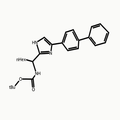 CCCCCCC(NC(=O)OC(C)(C)C)c1nc(-c2ccc(-c3ccccc3)cc2)c[nH]1